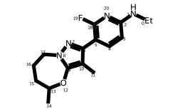 CCNc1ccc(-c2nn3c(c2C)OC(C)CCC3)c(F)n1